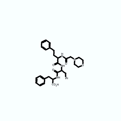 CC(C)CC(NC(=O)C(CCc1ccccc1)NC(=O)CN1CCOCC1)C(=O)NC(Cc1ccccc1)C(=O)O